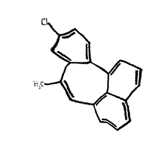 CC1=Cc2cccc3cccc(c23)-c2ccc(Cl)cc21